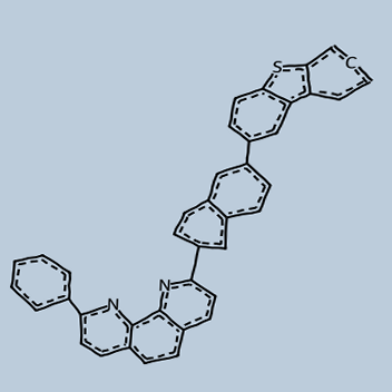 c1ccc(-c2ccc3ccc4ccc(-c5ccc6cc(-c7ccc8sc9ccccc9c8c7)ccc6c5)nc4c3n2)cc1